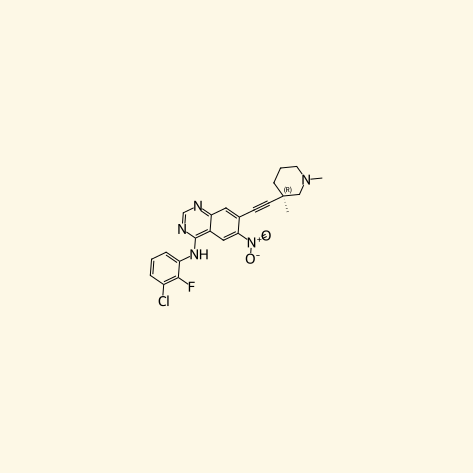 CN1CCC[C@](C)(C#Cc2cc3ncnc(Nc4cccc(Cl)c4F)c3cc2[N+](=O)[O-])C1